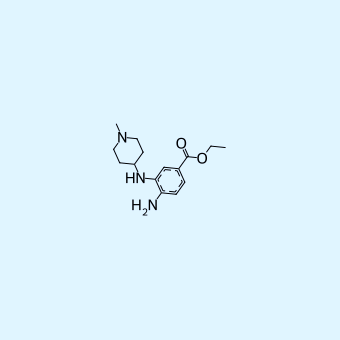 CCOC(=O)c1ccc(N)c(NC2CCN(C)CC2)c1